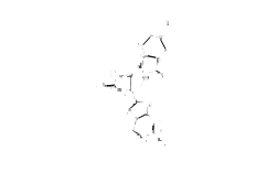 COc1ccc2c(c1)C(=O)N(C[C@@]1(c3cc4cnc(N)cc4o3)NC(=O)NC1=O)C2